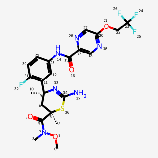 CON(C)C(=O)[C@@]1(C)C[C@@](C)(c2cc(NC(=O)c3cnc(OCC(F)(F)F)cn3)ccc2F)N=C(N)S1